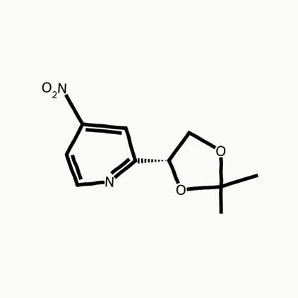 CC1(C)OC[C@@H](c2cc([N+](=O)[O-])ccn2)O1